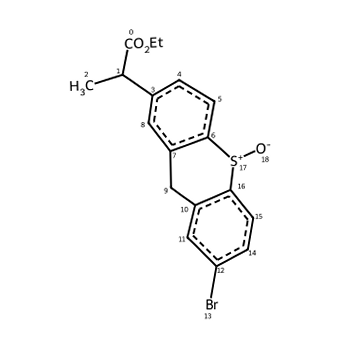 CCOC(=O)C(C)c1ccc2c(c1)Cc1cc(Br)ccc1[S+]2[O-]